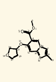 COC(=O)c1cn2cc(C)nc2cc1OC1CCOC1